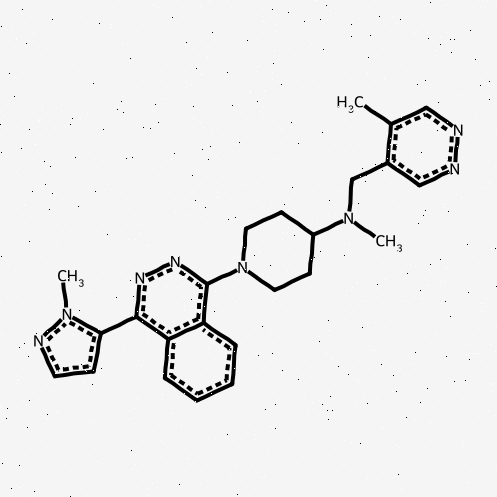 Cc1cnncc1CN(C)C1CCN(c2nnc(-c3ccnn3C)c3ccccc23)CC1